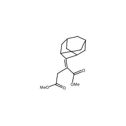 COC(=O)CC(C(=O)OC)=C1C2CC3CC(C2)CC1C3